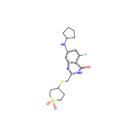 O=c1[nH]c(CSC2CCS(=O)(=O)CC2)nc2cc(NC3CCCC3)cc(F)c12